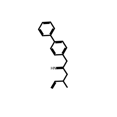 C=CC(C)CC(=N)Cc1ccc(-c2ccccc2)cc1